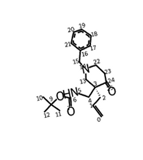 C=CC[C@]1(CNC(=O)OC(C)(C)C)CN(Cc2ccccc2)CCC1=O